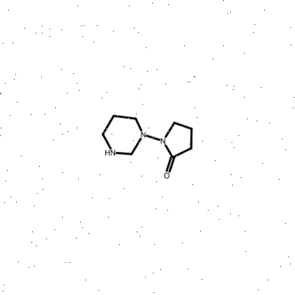 O=C1CCCN1N1CCCNC1